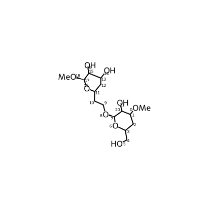 COC1CC(CO)O[C@@H](OCCC2CC(O)C(O)[C@H](OC)O2)C1O